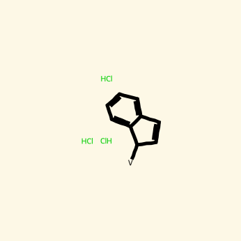 Cl.Cl.Cl.[V][CH]1C=Cc2ccccc21